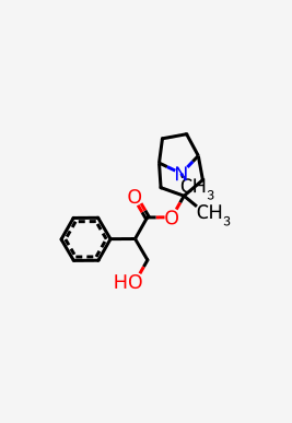 CN1C2CCC1CC(C)(OC(=O)C(CO)c1ccccc1)C2